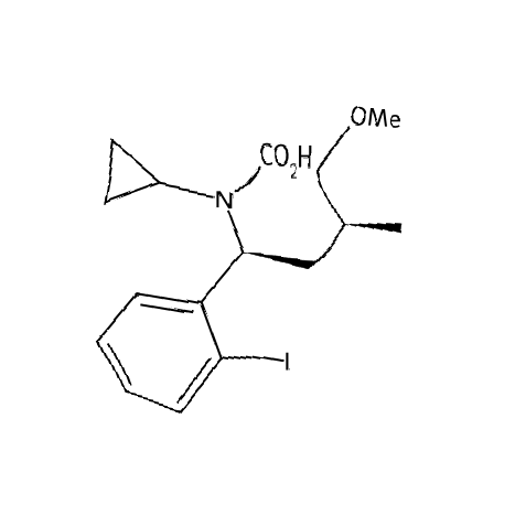 COC[C@@H](C)C[C@@H](c1ccccc1I)N(C(=O)O)C1CC1